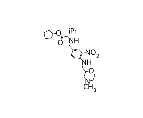 CC(C)[C@H](NCc1ccc(NCC2CN(C)CCO2)c([N+](=O)[O-])c1)C(=O)OC1CCCC1